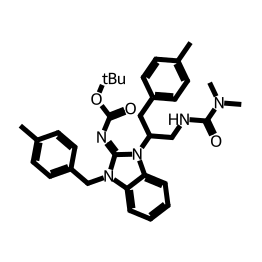 Cc1ccc(CC(CNC(=O)N(C)C)n2c(=NC(=O)OC(C)(C)C)n(Cc3ccc(C)cc3)c3ccccc32)cc1